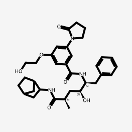 C[C@H](C[C@H](O)[C@H](Cc1ccccc1)NC(=O)c1cc(OCCO)cc(N2CCCC2=O)c1)C(=O)NC1CC2CCC1C2